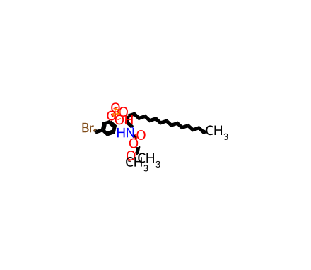 CCCCCCCCCCCCCCCC(CCNC(=O)OCC(C)OC)OP(=O)(O)Oc1cccc(CBr)c1